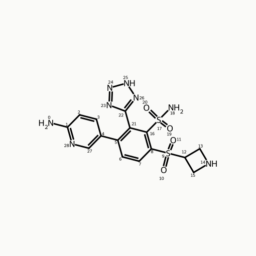 Nc1ccc(-c2ccc(S(=O)(=O)C3CNC3)c(S(N)(=O)=O)c2-c2nn[nH]n2)cn1